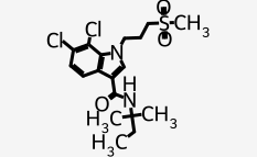 CCC(C)(C)NC(=O)c1cn(CCCS(C)(=O)=O)c2c(Cl)c(Cl)ccc12